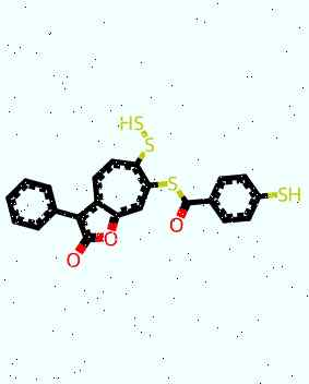 O=C(Sc1cc2oc(=O)c(-c3ccccc3)c-2ccc1SS)c1ccc(S)cc1